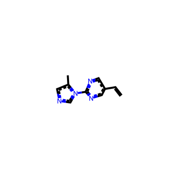 C=Cc1cnc(-n2cncc2C)nc1